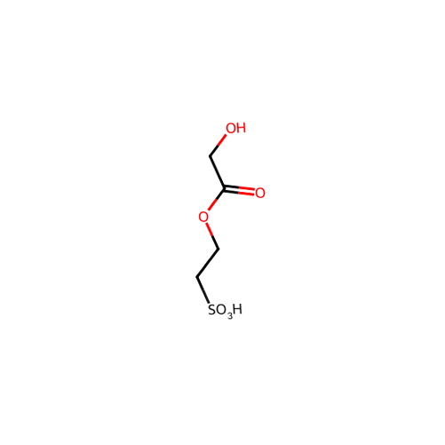 O=C(CO)OCCS(=O)(=O)O